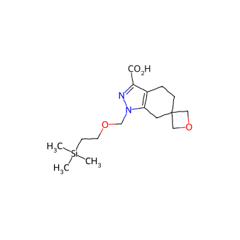 C[Si](C)(C)CCOCn1nc(C(=O)O)c2c1CC1(CC2)COC1